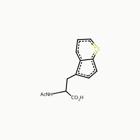 CC(=O)NC(Cc1ccc2scccc1-2)C(=O)O